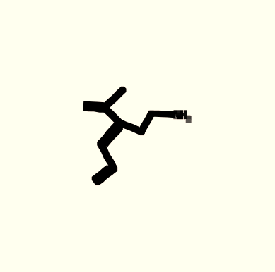 C=C/C=C(\CCN)C(=C)C